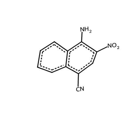 N#Cc1cc([N+](=O)[O-])c(N)c2ccccc12